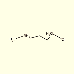 C[SiH2]CCC[SiH2]Cl